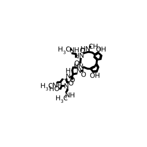 CNCCC[C@@H]1NC(=O)[C@@H](NC)Cc2cc(ccc2O)-c2ccc(O)c(c2)C[C@@H](C(=O)N2CCCC(C(=O)N[C@@H](CCCNC)C(=O)N(CCO)CCNC)C2)NC1=O